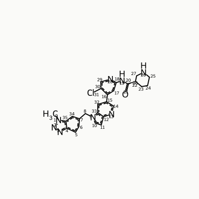 Cn1nnc2ccc(Cn3ccc4ncc(-c5cc(NC(=O)[C@@H]6CCCNC6)ncc5Cl)cc43)cc21